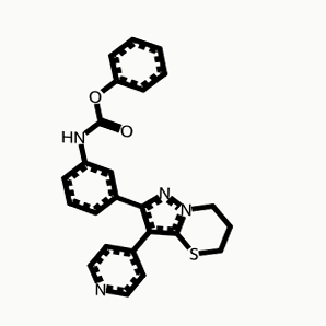 O=C(Nc1cccc(-c2nn3c(c2-c2ccncc2)SCCC3)c1)Oc1ccccc1